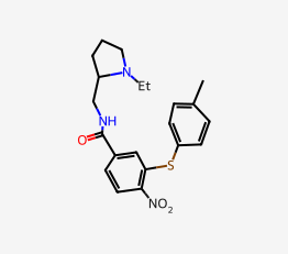 CCN1CCCC1CNC(=O)c1ccc([N+](=O)[O-])c(Sc2ccc(C)cc2)c1